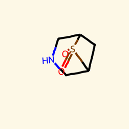 O=S1(=O)C2CNCC1C2